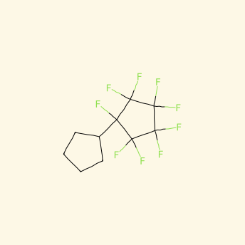 FC1(F)C(F)(F)C(F)(F)C(F)(C2CCCC2)C1(F)F